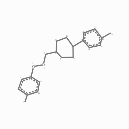 Cc1ccc(OOCC2CCC(c3ccc(C)cc3)CC2)cc1